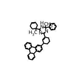 CC1(C2=NC(C3=CC(c4ccc5c(c4)-c4ccccc4C4C=CC=CC54)CCC3)=NC(C)(c3ccccc3)N2)CC=CCC1